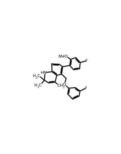 COc1cc(F)ccc1-c1ccc2c(c1COc1cccc(F)c1)C(C)=CC(C)(C)N2